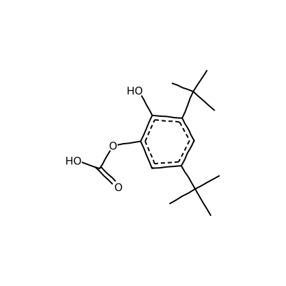 CC(C)(C)c1cc(OC(=O)O)c(O)c(C(C)(C)C)c1